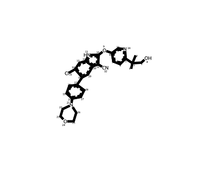 CC(C)(CO)c1ccc(Oc2[nH]c3cc(Cl)c(-c4ccc(N5CCOCC5)cc4)cc3c2C#N)cn1